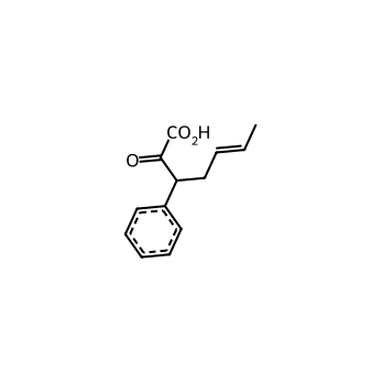 CC=CCC(C(=O)C(=O)O)c1ccccc1